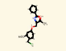 COc1cc(OCc2nc(-c3ccccc3)oc2C)ccc1CCl